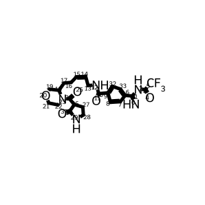 N=C(NC(=O)C(F)(F)F)c1ccc(C(=O)NC/C=C\CCC2COCCN2C(=O)C2CCNC2=O)cc1